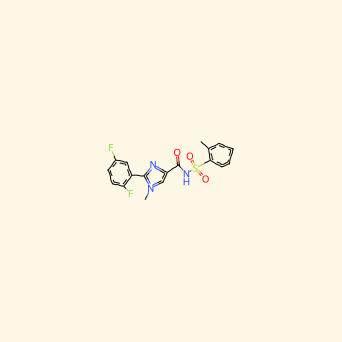 Cc1ccccc1S(=O)(=O)NC(=O)c1cn(C)c(-c2cc(F)ccc2F)n1